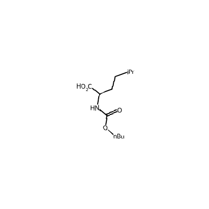 CCCCOC(=O)NC(CCC(C)C)C(=O)O